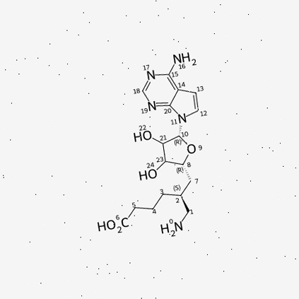 NC[C@@H](CCCC(=O)O)C[C@H]1O[C@@H](n2ccc3c(N)ncnc32)C(O)C1O